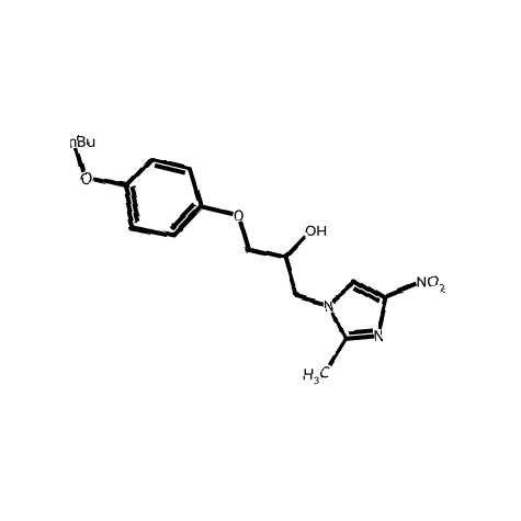 CCCCOc1ccc(OCC(O)Cn2cc([N+](=O)[O-])nc2C)cc1